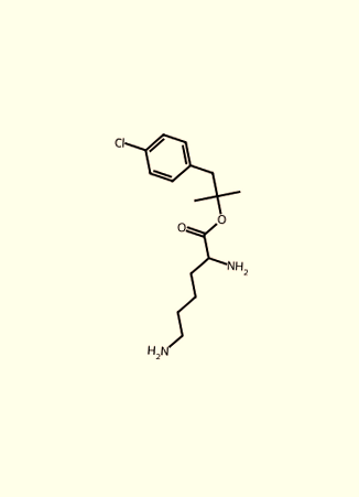 CC(C)(Cc1ccc(Cl)cc1)OC(=O)C(N)CCCCN